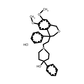 COc1cc2c(cc1OC)C(CCN1CCC(O)(c3ccccc3)CC1)(c1ccccc1)COC2.Cl